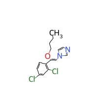 CCCCOC(=Cn1ccnc1)c1ccc(Cl)cc1Cl